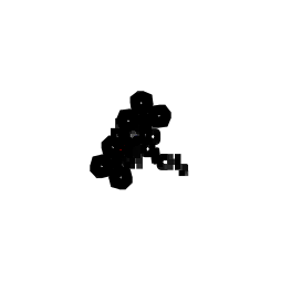 C=CCOC(=O)/C(=N\OC(c1ccccc1)(c1ccccc1)c1ccccc1)c1nc(NC(c2ccccc2)(c2ccccc2)c2ccccc2)sc1C(F)(F)F